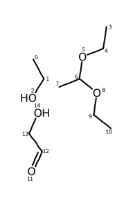 CCO.CCOC(C)OCC.O=CCO